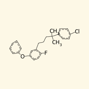 CC(C)(CCCc1cc(Oc2ccccc2)ccc1F)c1ccc(Cl)cc1